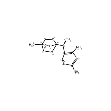 C[C@@H](c1cnc(N)nc1N)C12OCC(C)(CO1)CO2